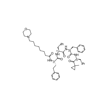 CC(C)C[C@H](NC(=O)[C@H](CCc1ccccc1)NC(=O)CCCCCCCN1CCOCC1)C(=O)N[C@@H](Cc1ccccc1)C(=O)N[C@@H](CC(C)C)C(=O)C1(C)CC1